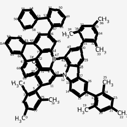 Cc1cc(C)c(-c2cc3c4c(c2)-n2c5ccc(-c6c(C)cc(C)cc6C)cc5c5cc(-c6c(C)cc(C)cc6C)cc(c52)B4c2cc(-c4ccccc4-c4ccccc4)cc(-c4ccccc4-c4ccccc4)c2O3)c(C)c1